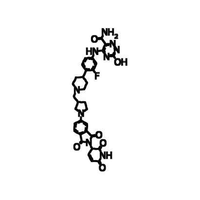 NC(=O)c1nnc(O)nc1Nc1ccc(C2CCN(CC3CCN(c4ccc5c(c4)C(=O)N(C4C=CC(=O)NC4=O)C5=O)C3)CC2)c(F)c1